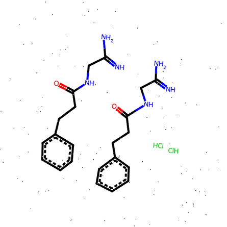 Cl.Cl.N=C(N)CNC(=O)CCc1ccccc1.N=C(N)CNC(=O)CCc1ccccc1